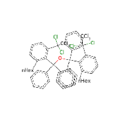 CCCCCCc1cccc(C(Cl)(Cl)C(Cl)(Cl)Cl)c1C(OC(c1ccccc1)(c1ccccc1)c1c(CCCCCC)cccc1C(Cl)(Cl)C(Cl)(Cl)Cl)(c1ccccc1)c1ccccc1